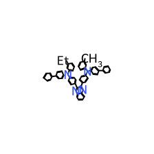 CCc1cccc(N(c2ccc(-c3ccccc3)cc2)c2ccc(-c3nc4ccccc4nc3-c3ccc(N(c4ccc(-c5ccccc5)cc4)c4cccc(C)c4)cc3)cc2)c1